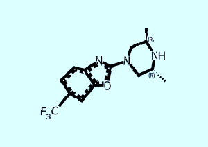 C[C@@H]1CN(c2nc3ccc(C(F)(F)F)cc3o2)C[C@@H](C)N1